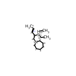 C/C=C/C(CN1CCCCCC1)[SiH](CC)CC